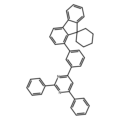 c1ccc(-c2cc(-c3cccc(-c4cccc5c4C4(CCCCC4)c4ccccc4-5)c3)nc(-c3ccccc3)n2)cc1